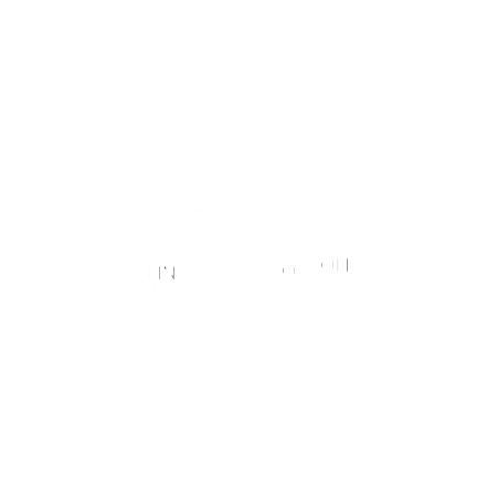 OOCc1cc[nH]c1